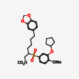 COc1ccc(S(=O)(=O)C(CCCCc2ccc3c(c2)OCO3)CC(=O)O)cc1OC1CCCC1